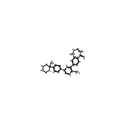 Nc1ncc(-c2ccc(C3(N)CCOCC3)cc2)nc1-c1ccc2c(c1)NCCNC2=O